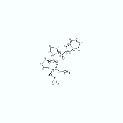 CCOC(OCC)[C@@H]1CCCN1C(=O)[C@@H]1CCCN1C(=O)C1=Cc2ccccc2C1